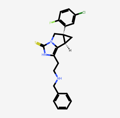 Fc1ccc(Cl)cc1[C@]12C[C@H]1c1c(CCNCc3ccccc3)[nH]c(=S)n1C2